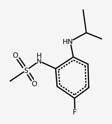 CC(C)Nc1ccc(F)cc1NS(C)(=O)=O